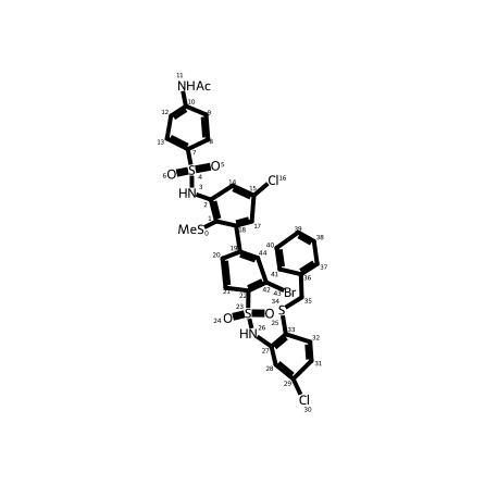 CSc1c(NS(=O)(=O)c2ccc(NC(C)=O)cc2)cc(Cl)cc1-c1ccc(S(=O)(=O)Nc2cc(Cl)ccc2SCc2ccccc2)c(Br)c1